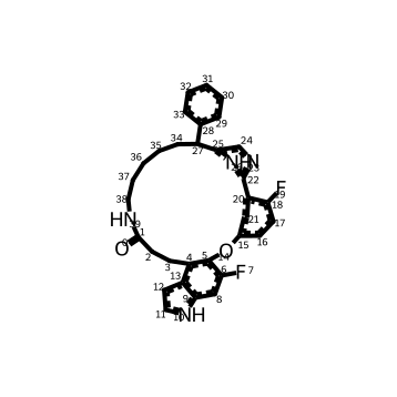 O=C1CCc2c(c(F)cc3[nH]ccc23)Oc2ccc(F)c(c2)-c2ncc([nH]2)C(c2ccccc2)CCCCCN1